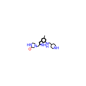 Cc1cc(NCC2CCNCC2)c2[nH]c(CN3CCNC(=O)C3)cc2c1